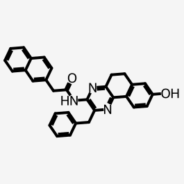 O=C(Cc1ccc2ccccc2c1)Nc1nc2c(nc1Cc1ccccc1)-c1ccc(O)cc1CC2